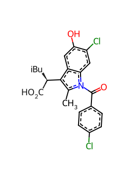 CCC(C)[C@H](C(=O)O)c1c(C)n(C(=O)c2ccc(Cl)cc2)c2cc(Cl)c(O)cc12